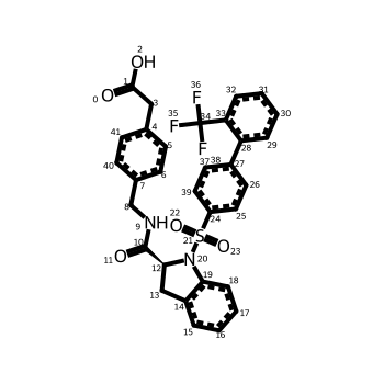 O=C(O)Cc1ccc(CNC(=O)[C@@H]2Cc3ccccc3N2S(=O)(=O)c2ccc(-c3ccccc3C(F)(F)F)cc2)cc1